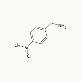 NCc1ccc([SiH](Cl)Cl)cc1